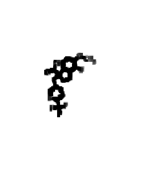 COc1ccc2c(c1F)CCC2(Cc1ccc(C(F)(F)F)nc1)C(C)=O